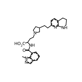 Cn1ncc2cccc(C(=O)NC(CCN3CCC(CCc4ccc5c(n4)NCCC5)C3)C(=O)O)c21